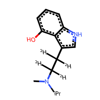 [2H]C([2H])(c1c[nH]c2cccc(O)c12)C([2H])([2H])N(C)C(C)C